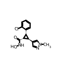 Cn1cc([C@H]2[C@H](C(=O)NO)[C@@H]2c2ccccc2Cl)cn1